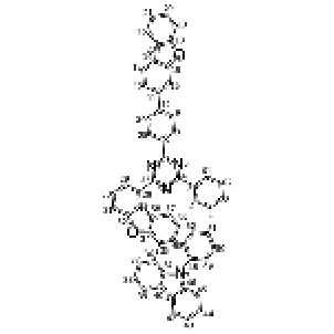 c1ccc(-c2nc(-c3ccc(-c4ccc5c(c4)oc4ccccc45)cc3)nc(-c3cccc4oc5c(-c6cccc7c8ccccc8n(-c8ccccc8)c67)cccc5c34)n2)cc1